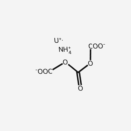 O=C([O-])OC(=O)OC(=O)[O-].[NH4+].[U+]